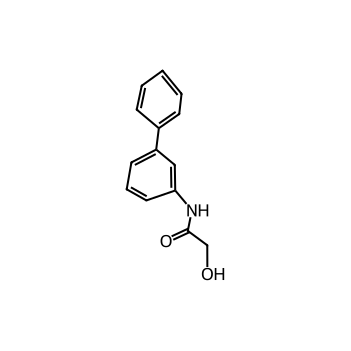 O=C(CO)Nc1cccc(-c2ccccc2)c1